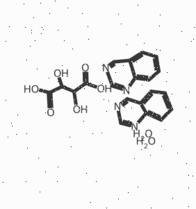 O.O.O=C(O)C(O)C(O)C(=O)O.c1ccc2ncncc2c1.c1ccc2ncncc2c1